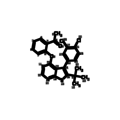 CC(=O)c1ccccc1Oc1ncnc2sc(C(C)(C)C)c(-c3ccc(Cl)c(Cl)c3)c12